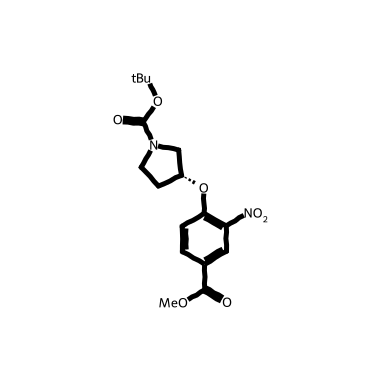 COC(=O)c1ccc(O[C@@H]2CCN(C(=O)OC(C)(C)C)C2)c([N+](=O)[O-])c1